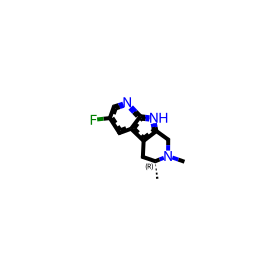 C[C@@H]1Cc2c([nH]c3ncc(F)cc23)CN1C